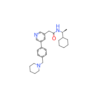 C[C@H](NC(=O)Cc1cncc(-c2ccc(CN3CCCCC3)cc2)c1)C1CCCCC1